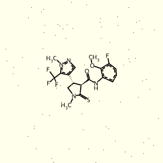 COc1c(F)cccc1NC(=O)[C@H]1C(=S)N(C)C[C@@H]1c1cnn(C)c1C(F)(F)F